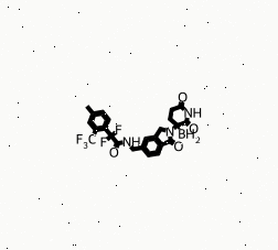 B[C@@]1(N2Cc3cc(CNC(=O)C(F)(F)c4ccc(C)cc4C(F)(F)F)ccc3C2=O)CCC(=O)NC1=O